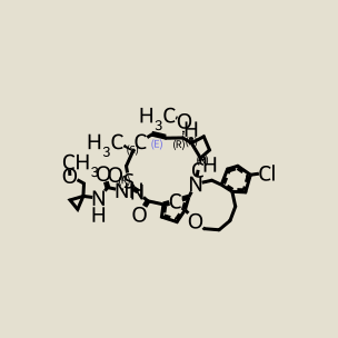 COCC1(NC(=O)N[S@@]2(=O)=NC(=O)c3ccc4c(c3)N(Cc3ccc(Cl)cc3CCCCO4)C[C@@H]3CC[C@H]3[C@@H](OC)/C=C/C[C@H](C)C2)CC1